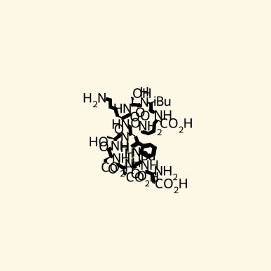 CC[C@H](C)[C@H](NC(=O)[C@H](CO)NC(=O)[C@H](CCCCN)NC(=O)[C@H](Cc1c[nH]c2ccccc12)NC(=O)[C@H](CO)NC(=O)[C@H](CC(=O)O)NC(=O)[C@H](CC(=O)O)NC(=O)[C@@H](NC(=O)[C@@H](N)CC(=O)O)[C@@H](C)CC)C(=O)N[C@@H](CCCCN)C(=O)O